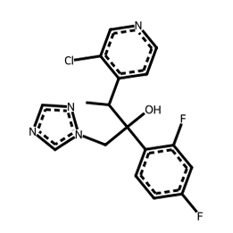 CC(c1ccncc1Cl)C(O)(Cn1cncn1)c1ccc(F)cc1F